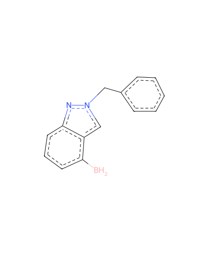 Bc1cccc2nn(Cc3ccccc3)cc12